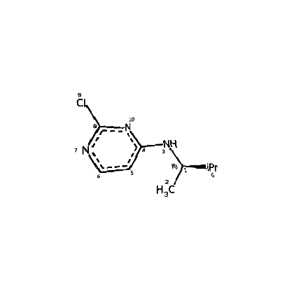 CC(C)[C@@H](C)Nc1ccnc(Cl)n1